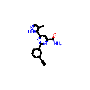 C#Cc1cccc(-c2nc(C(N)=O)cc(-c3[nH]ncc3C)n2)c1